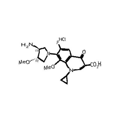 COc1c(N2C[C@H](OC)[C@@H](N)C2)c(F)cc2c(=O)c(C(=O)O)cn(C3CC3)c12.Cl